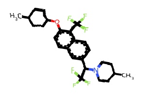 CC1CCC(Oc2ccc3cc(C(N4CCC(C)CC4)C(F)(F)F)ccc3c2C(F)(F)F)CC1